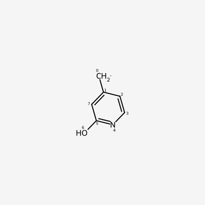 [CH2]c1ccnc(O)c1